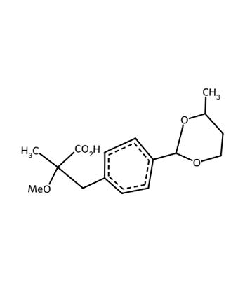 COC(C)(Cc1ccc(C2OCCC(C)O2)cc1)C(=O)O